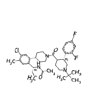 CC[C@@H](NC(C)=O)c1cc(C)c(Cl)cc1C1CCN(C(=O)C2CCN(C(C)(C)C)C[C@H]2c2ccc(F)cc2F)CC1